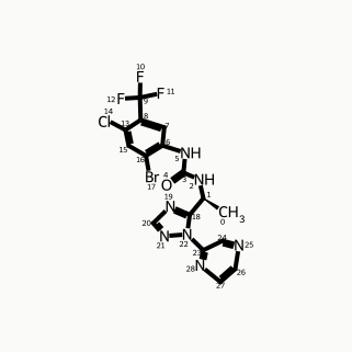 C[C@H](NC(=O)Nc1cc(C(F)(F)F)c(Cl)cc1Br)c1ncnn1-c1cnccn1